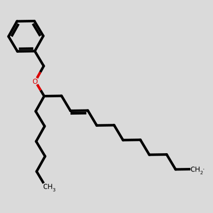 [CH2]CCCCCCCC=CCC(CCCCCC)OCc1ccccc1